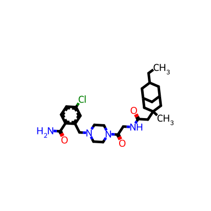 CCC1CC2CC(C1)CC(C)(CC(=O)NCC(=O)N1CCN(Cc3cc(Cl)ccc3C(N)=O)CC1)C2